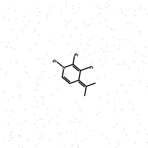 CC(C)=C1C=CN(C(C)C)C(C(C)C)=C1C(C)C